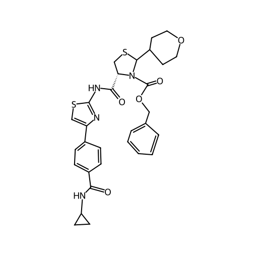 O=C(NC1CC1)c1ccc(-c2csc(NC(=O)[C@@H]3CSC(C4CCOCC4)N3C(=O)OCc3ccccc3)n2)cc1